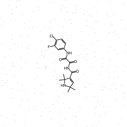 CC1(C)C=C(C(=O)NC(=O)C(=O)Nc2ccc(Cl)c(F)c2)C(C)(C)N1